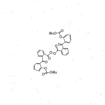 CC(C)COC(=O)Oc1ccccc1C(=O)c1ccccc1C(=O)OOC(=O)c1ccccc1C(=O)c1ccccc1OC(=O)OCC(C)C